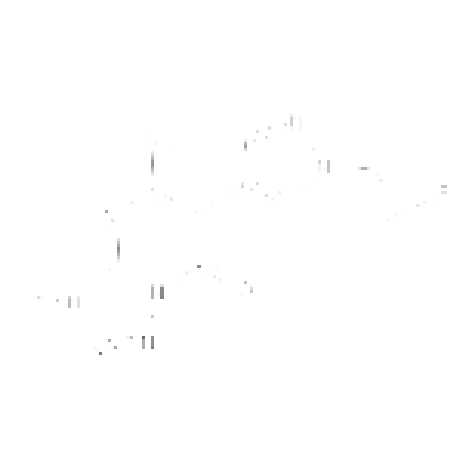 Cn1nnn2c(=O)c(-c3cnn(CC(F)(F)C(F)(F)F)c3)c(C(F)(F)F)nc12